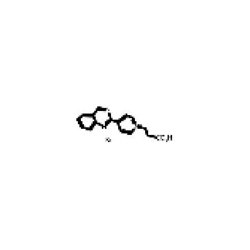 O=C(O)CC[n+]1ccc(-c2ncc3ccccc3n2)cc1.[Br-]